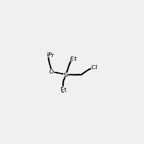 CC[Si](CC)(CCl)OC(C)C